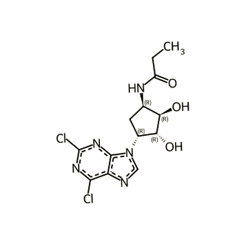 CCC(=O)N[C@@H]1C[C@@H](n2cnc3c(Cl)nc(Cl)nc32)[C@@H](O)[C@@H]1O